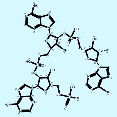 Nc1ncnc2c1ncn2[C@@H]1O[C@H](COP(=O)(O)O[C@H]2C(O)[C@@H](COP(=O)(O)O[C@H]3C(O)[C@@H](COP(=O)(O)O)O[C@H]3n3cnc4c(N)ncnc43)O[C@H]2n2cnc3c(N)ncnc32)C(O)[C@@H]1O